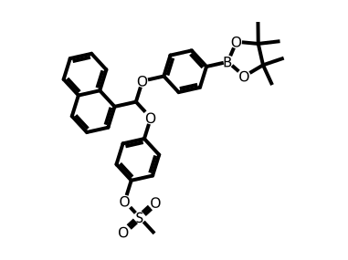 CC1(C)OB(c2ccc(OC(Oc3ccc(OS(C)(=O)=O)cc3)c3cccc4ccccc34)cc2)OC1(C)C